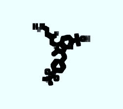 Cc1c(Cc2ccc(S(=O)(=O)N(C)C)cc2)c2nc(C(C)(C)O)ccc2n1CC(F)=CCN